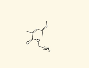 CC=C(C)C=C(C)C(=O)OC[SiH3]